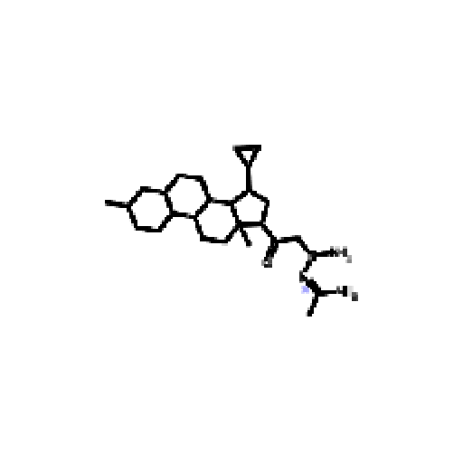 C/C(N)=N/N(N)CC(=O)C1CC(C2CC2)C2C3CCC4CC(C)CCC4C3CCC12C